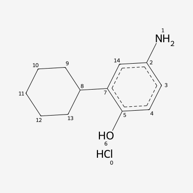 Cl.Nc1ccc(O)c(C2CCCCC2)c1